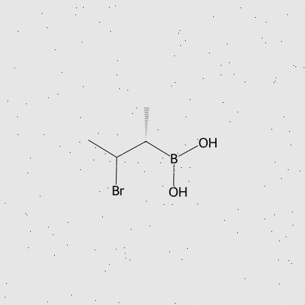 CC(Br)[C@H](C)B(O)O